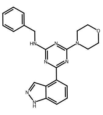 c1ccc(CNc2nc(-c3cccc4[nH]ncc34)nc(N3CCOCC3)n2)cc1